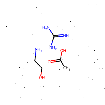 CC(=O)O.N=C(N)N.NCCO